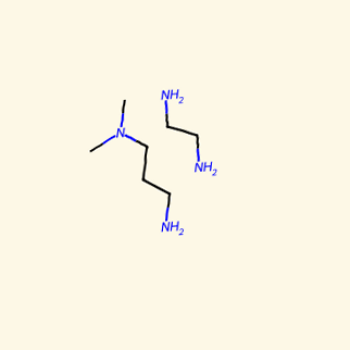 CN(C)CCCN.NCCN